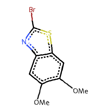 COc1cc2nc(Br)sc2cc1OC